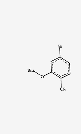 CC(C)(C)Oc1cc(Br)ccc1C#N